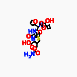 NC(=O)OCC1=C(C(=O)O)N2C(=O)[C@@H](NC(=O)/C(=N\OC3(C(=O)O)CCC3)c3ccco3)[C@H]2SC1